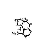 COc1cccc2c1[C@@H]1CNC[C@@H]1CC2